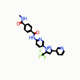 CNC(=O)c1ccc(C(=O)Nc2ccc(-n3nc(-c4cccnc4)cc3C(F)(F)F)cn2)cc1